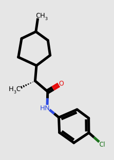 CC1CCC([C@@H](C)C(=O)Nc2ccc(Cl)cc2)CC1